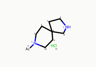 CC(=O)N1CCC2(CCNC2)CC1.Cl